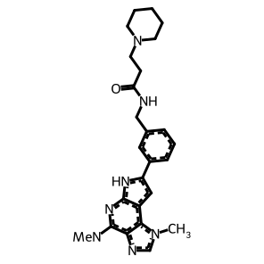 CNc1nc2[nH]c(-c3cccc(CNC(=O)CCN4CCCCC4)c3)cc2c2c1ncn2C